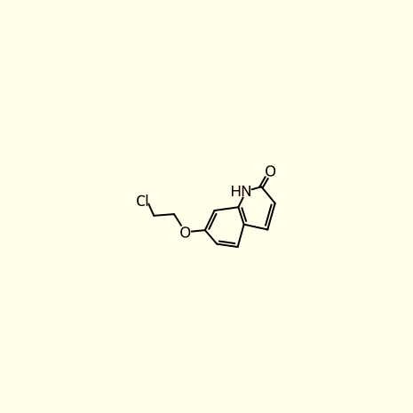 O=c1ccc2ccc(OCCCl)cc2[nH]1